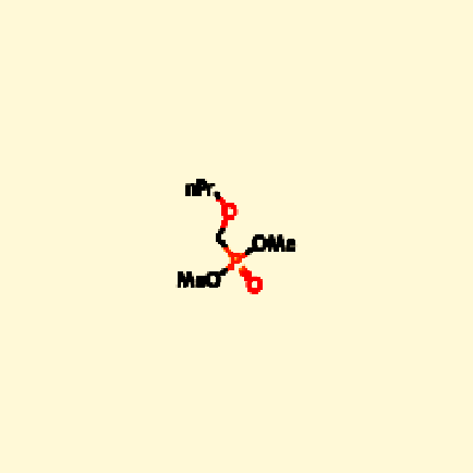 CCCOCP(=O)(OC)OC